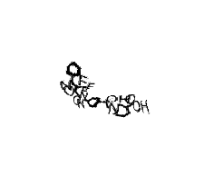 O=C(O)C1CCCN(C[C@@H](O)c2ccc(-c3noc(-c4onc(-c5ccccc5)c4C(F)(F)F)n3)cc2)C1